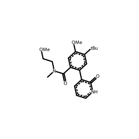 COCCN(C)C(=O)c1cc(OC)c(C(C)(C)C)cc1-c1ccc[nH]c1=O